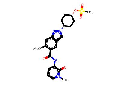 COc1cc2nn([C@H]3CC[C@@H](OS(C)(=O)=O)CC3)cc2cc1C(=O)Nc1cccn(C)c1=O